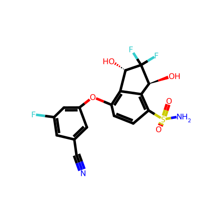 N#Cc1cc(F)cc(Oc2ccc(S(N)(=O)=O)c3c2[C@H](O)C(F)(F)[C@H]3O)c1